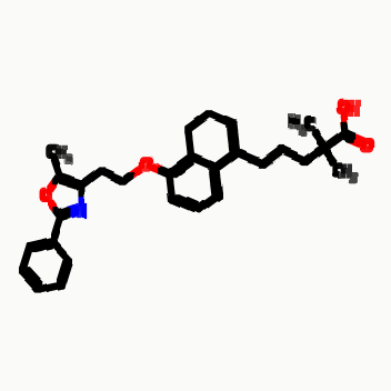 Cc1oc(-c2ccccc2)nc1CCOc1cccc2c1CCC=C2CCCC(C)(C)C(=O)O